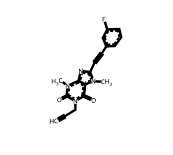 C#CCn1c(=O)c2c(nc(C#Cc3cccc(F)c3)n2C)n(C)c1=O